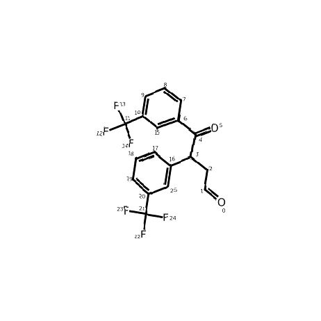 O=CCC(C(=O)c1cccc(C(F)(F)F)c1)c1cccc(C(F)(F)F)c1